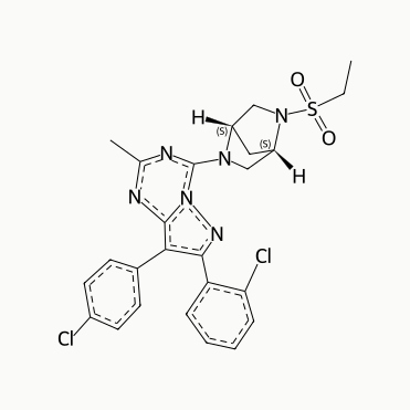 CCS(=O)(=O)N1C[C@@H]2C[C@H]1CN2c1nc(C)nc2c(-c3ccc(Cl)cc3)c(-c3ccccc3Cl)nn12